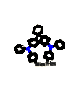 CCCCCCc1ccc(N(c2ccccc2)c2ccc(C3(c4ccc(N(c5ccccc5)c5ccc(CCCCCC)cc5)cc4)CCCCC3)cc2)cc1